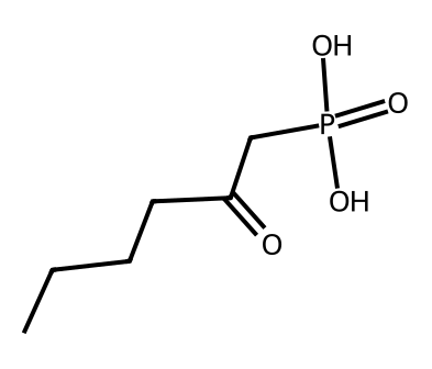 CCCCC(=O)CP(=O)(O)O